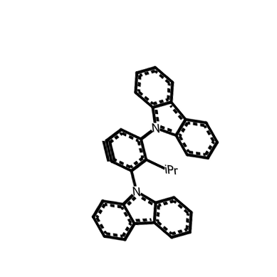 CC(C)c1c(-n2c3ccccc3c3ccccc32)c#ccc1-n1c2ccccc2c2ccccc21